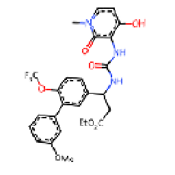 CCOC(=O)CC(NC(=O)Nc1c(O)ccn(C)c1=O)c1ccc(OC(F)(F)F)c(-c2cccc(OC)c2)c1